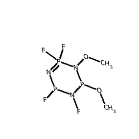 CON1P(OC)N(F)P(F)N=P1(F)F